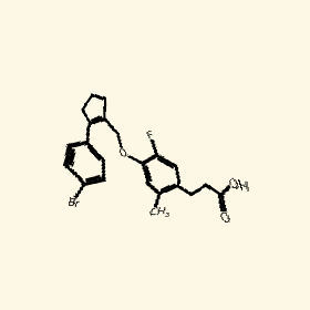 Cc1cc(OCC2=C(c3ccc(Br)cc3)CCC2)c(F)cc1CCC(=O)O